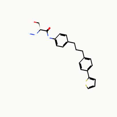 NN[C@@H](CO)C(=O)Nc1ccc(CCCc2ccc(-c3cccs3)cc2)cc1